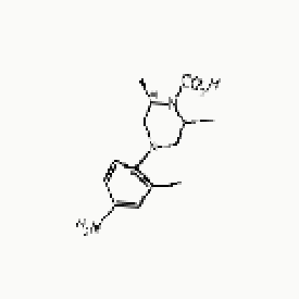 Cc1cc(N)ccc1N1CC(C)N(C(=O)O)[C@H](C)C1